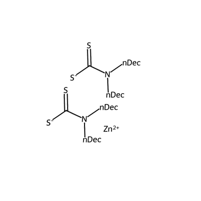 CCCCCCCCCCN(CCCCCCCCCC)C(=S)[S-].CCCCCCCCCCN(CCCCCCCCCC)C(=S)[S-].[Zn+2]